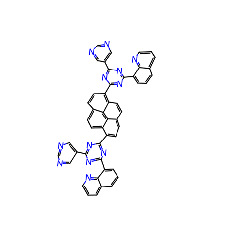 c1cnc2c(-c3nc(-c4cncnc4)nc(-c4ccc5ccc6c(-c7nc(-c8cncnc8)nc(-c8cccc9cccnc89)n7)ccc7ccc4c5c76)n3)cccc2c1